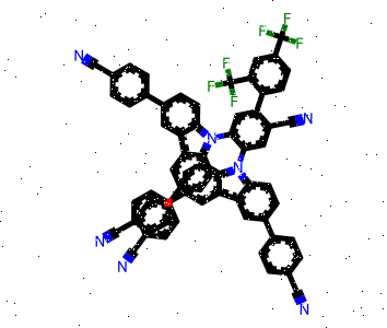 N#Cc1ccc(-c2ccc3c(c2)c2cc(-c4ccc(C#N)cc4)ccc2n3-c2cc(C#N)c(-c3ccc(C(F)(F)F)cc3C(F)(F)F)cc2-n2c3ccc(-c4ccc(C#N)cc4)cc3c3cc(-c4ccc(C#N)cc4)ccc32)cc1